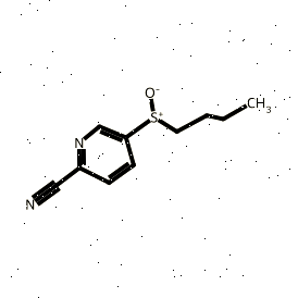 CCCC[S+]([O-])c1ccc(C#N)nc1